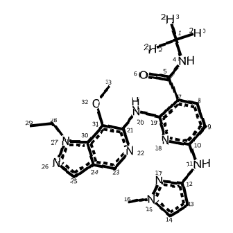 [2H]C([2H])([2H])NC(=O)c1ccc(Nc2ccn(C)n2)nc1Nc1ncc2cnn(CC)c2c1OC